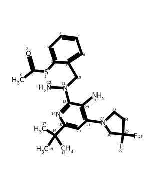 CC(=O)Sc1ccccc1CN(N)c1nc(C(C)(C)C)cc(N2CCC(F)(F)C2)c1N